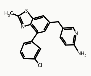 Cc1nc2c(-c3cccc(Cl)c3)cc(Cc3ccc(N)nc3)cc2s1